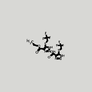 CCOC(=O)c1nn[nH]c1SCC(F)(F)F.O=C(O)c1nn[nH]c1SCC(F)(F)F